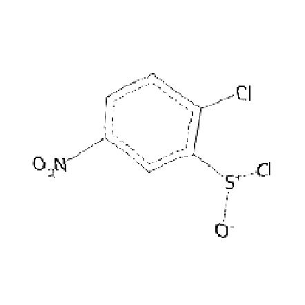 O=[N+]([O-])c1ccc(Cl)c([S+]([O-])Cl)c1